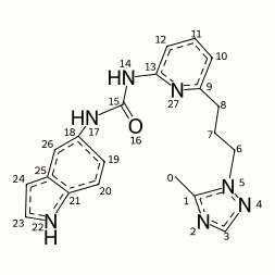 Cc1ncnn1CCCc1cccc(NC(=O)Nc2ccc3[nH]ccc3c2)n1